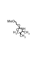 C=C(C)C(C)NC(=O)OCCOC